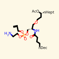 C=CCOP(=O)(OCCN)OC[C@H](COCC[C@@H](CCCCCCC)OC(C)=O)NC(=O)CCCCCCCCCCCCC